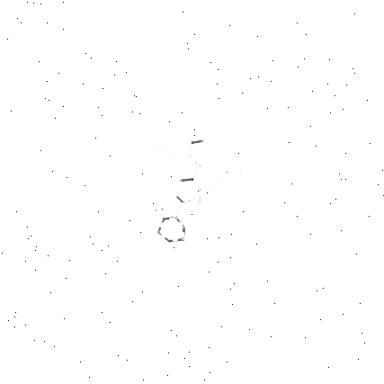 COC[C@H](NC(=O)c1cc(Cl)ccc1Cl)C(=O)N[C@H](CSC)C(=O)O